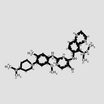 COc1cc(N2CCC(N(C)C)CC2)c(C)cc1Nc1ncc(Br)c(Nc2ccc3nccnc3c2N(C)SC)n1